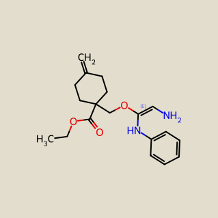 C=C1CCC(CO/C(=C/N)Nc2ccccc2)(C(=O)OCC)CC1